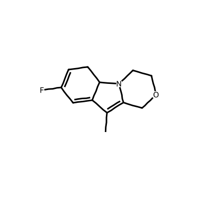 CC1=C2COCCN2C2CC=C(F)C=C12